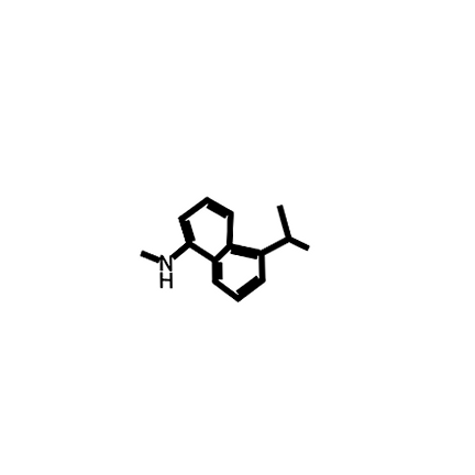 CNc1cccc2c(C(C)C)cccc12